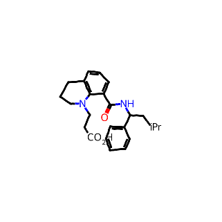 CC(C)CC(NC(=O)c1cccc2c1N(CCC(=O)O)CCC2)c1ccccc1